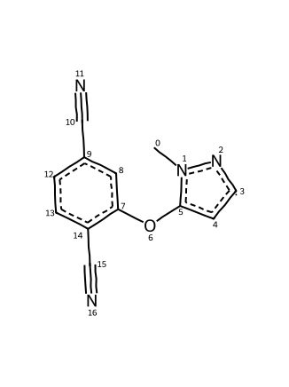 Cn1n[c]cc1Oc1cc(C#N)ccc1C#N